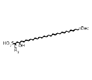 CCCCCCCCCCCCCCCCCCCCCCCCCCCCCCCCCCCCC(O)CC(C)S(=O)(=O)O